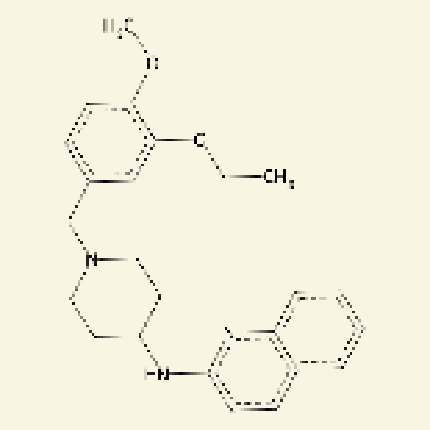 CCOc1cc(CN2CCC(Nc3ccc4ccccc4n3)CC2)ccc1OC